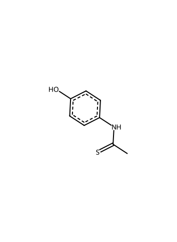 CC(=S)Nc1ccc(O)cc1